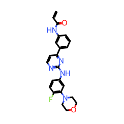 C=CC(=O)Nc1cccc(-c2ccnc(Nc3ccc(F)c(N4CCOCC4)c3)n2)c1